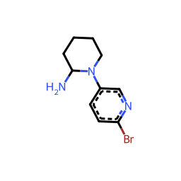 NC1CCCCN1c1ccc(Br)nc1